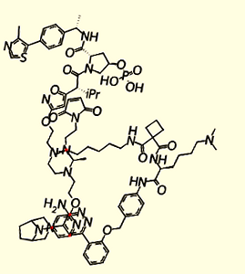 Cc1ncsc1-c1ccc([C@H](C)NC(=O)[C@@H]2C[C@@H](OP(=O)(O)O)CN2C(=O)[C@@H](c2cc(OCCN3CCN(CCOc4cc(N5C6CCC5CN(c5cc(-c7ccccc7OCc7ccc(NC(=O)[C@H](CCCCN(C)C)NC(=O)C8(C(=O)NCCCCCN(C)CCN9C(=O)C=CC9=O)CCC8)cc7)nnc5N)C6)ccn4)[C@H](C)C3)no2)C(C)C)cc1